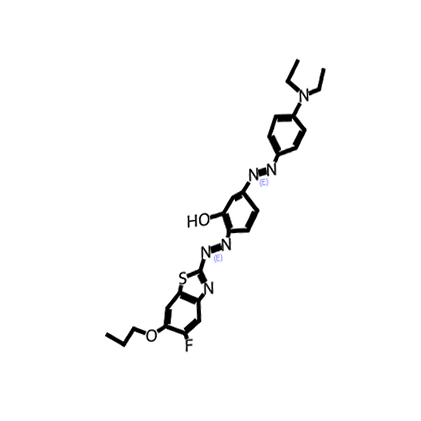 CCCOc1cc2sc(/N=N/c3ccc(/N=N/c4ccc(N(CC)CC)cc4)cc3O)nc2cc1F